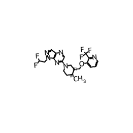 C[C@@H]1CCN(c2cnc3cnn(CC(F)F)c3n2)C[C@H]1COc1cccnc1C(F)(F)F